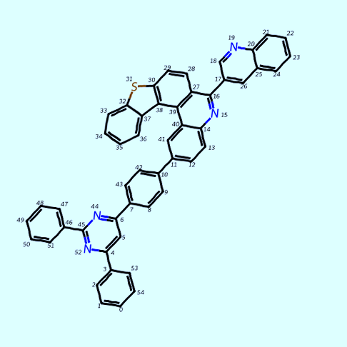 c1ccc(-c2cc(-c3ccc(-c4ccc5nc(-c6cnc7ccccc7c6)c6ccc7sc8ccccc8c7c6c5c4)cc3)nc(-c3ccccc3)n2)cc1